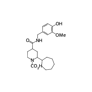 COc1cc(CNC(=O)C2CCN(C(=O)O)C(C3CCCCCC3)C2)ccc1O